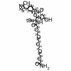 Cc1ncsc1-c1ccc(CNC(=O)[C@@H]2C[C@@H](O)CN2C(=O)[C@@H](NC(=O)COCCOCCOCCOCCOCC(N)=O)C(C)(C)C)cc1